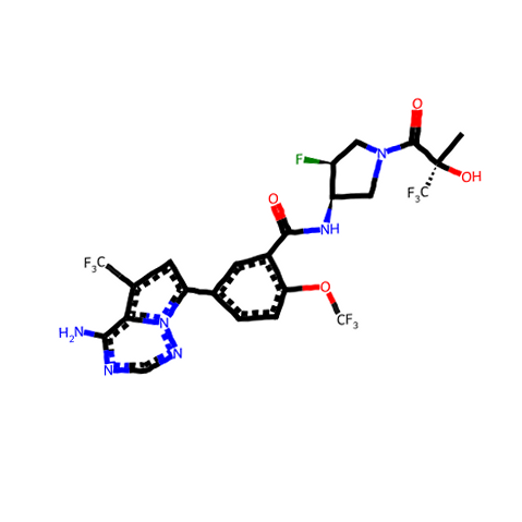 C[C@@](O)(C(=O)N1C[C@H](F)[C@H](NC(=O)c2cc(-c3cc(C(F)(F)F)c4c(N)ncnn34)ccc2OC(F)(F)F)C1)C(F)(F)F